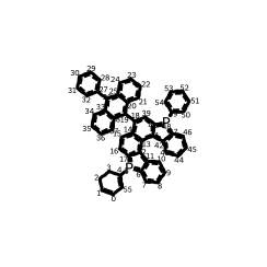 C1=CCCC(p2c3ccccc3c3c4c(ccc32)c(-c2c3ccccc3c(-c3ccccc3)c3ccccc23)cc2c4c3ccccc3p2-c2ccccc2)=C1